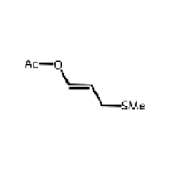 CSCC=COC(C)=O